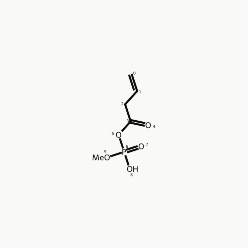 C=CCC(=O)OP(=O)(O)OC